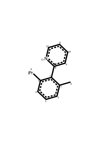 Cc1cccc(C(C)C)c1-c1ccccn1